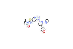 C[C@@H]1CCC(=O)N1c1nc2cc(Nc3ccc(C4CCOCC4)c(CN4CCCC4)n3)ncc2s1